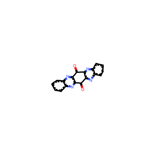 O=C1c2nc3ccccc3nc2C(=O)c2nc3ccccc3nc21